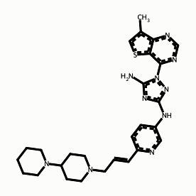 Cc1csc2c(-n3nc(Nc4ccc(C=CCN5CCC(N6CCCCC6)CC5)nc4)nc3N)ncnc12